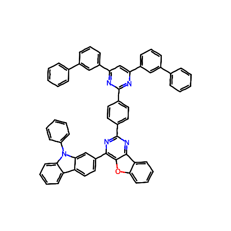 c1ccc(-c2cccc(-c3cc(-c4cccc(-c5ccccc5)c4)nc(-c4ccc(-c5nc(-c6ccc7c8ccccc8n(-c8ccccc8)c7c6)c6oc7ccccc7c6n5)cc4)n3)c2)cc1